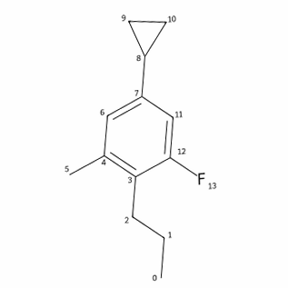 CCCc1c(C)cc(C2CC2)cc1F